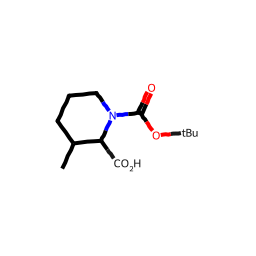 CC1CCCN(C(=O)OC(C)(C)C)C1C(=O)O